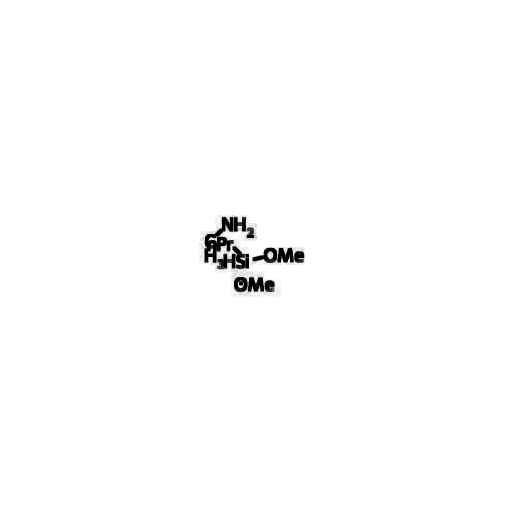 CCC[SiH](OC)OC.CN